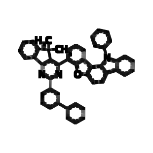 CC1(C)c2ccccc2-c2nc(-c3cccc(-c4ccccc4)c3)nc(-c3cccc4c3oc3ccc5c6ccccc6n(-c6ccccc6)c5c34)c21